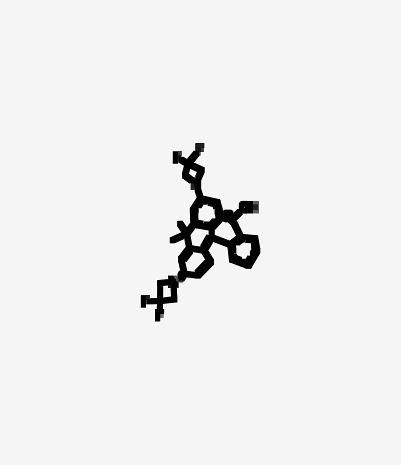 CC1(C)C2=CC(=[N+]3CC(F)(F)C3)C=CC2=C(c2ccccc2C(=O)O)c2ccc(N3CC(F)(F)C3)cc21